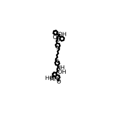 O=C(OCC1CCN(CCCCCCN2CCC(NC[C@@H](O)c3ccc(O)c4[nH]c(=O)ccc34)CC2)CC1)C(O)(c1ccccc1)C1CCCCC1